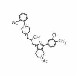 CC(=O)N1CCc2c(c(-c3ccc(C)c(Cl)c3)nn2CC(O)CN2CCN(c3ccccc3C#N)CC2)C1